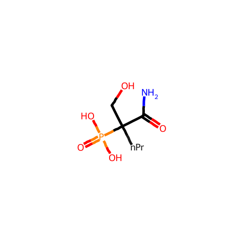 CCCC(CO)(C(N)=O)P(=O)(O)O